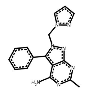 Cc1nc(N)c2c(-c3ccccc3)n(Cn3cccn3)nc2n1